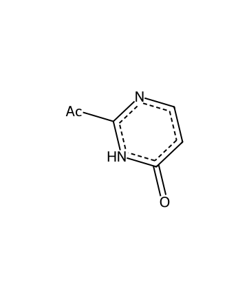 CC(=O)c1nccc(=O)[nH]1